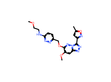 COCCNc1ccc(COc2nn3c(-c4cc(C)on4)nnc3cc2OC)nn1